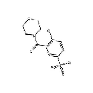 O=C(c1nc(S(=O)(=O)Cl)ccc1Cl)N1CCOCC1